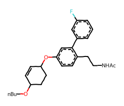 CCCCOC1C=CC(Oc2ccc(CCNC(C)=O)c(-c3cccc(F)c3)c2)CC1